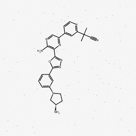 CC(C)(C#N)c1cc(-c2cnc(N)c(-c3nnc(-c4cccc(N5CC[C@@H](N)C5)c4)o3)n2)ccn1